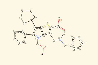 COCn1c(-c2ccccc2)c(C2CCCCC2)c2sc(C(=O)O)c(CN(C)Cc3ccccc3)c21